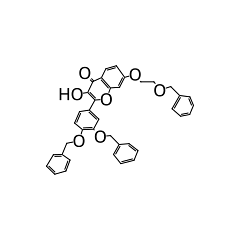 O=c1c(O)c(-c2ccc(OCc3ccccc3)c(OCc3ccccc3)c2)oc2cc(OCCOCc3ccccc3)ccc12